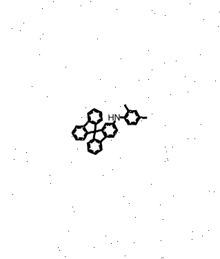 Cc1ccc(Nc2ccc3c(c2)C2(c4ccccc4-c4ccccc42)c2ccccc2-3)c(C)c1